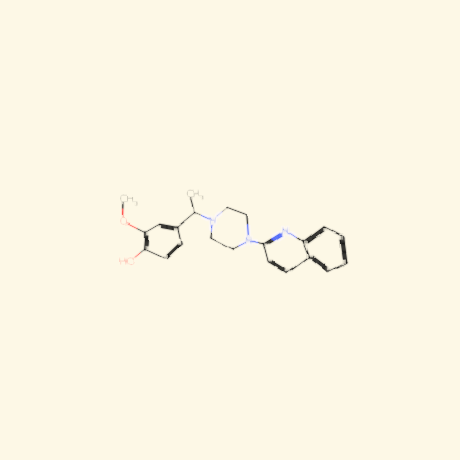 COc1cc(C(C)N2CCN(c3ccc4ccccc4n3)CC2)ccc1O